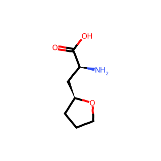 N[C@@H](C[C@@H]1CCCO1)C(=O)O